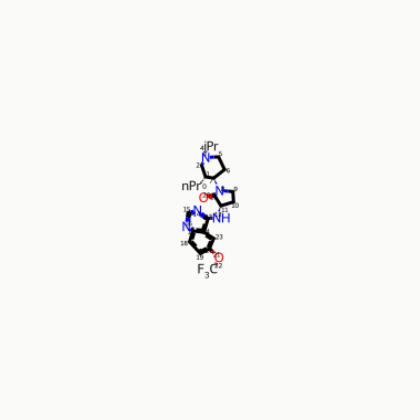 CCC[C@@H]1CN(C(C)C)CC[C@@H]1N1CC[C@H](Nc2ncnc3ccc(OC(F)(F)F)cc23)C1=O